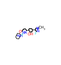 Cn1cc(-c2ccc(-c3ccc(O[C@@H]4CC5CCCC(N5)[C@@H]4F)nn3)c(O)c2)c(F)n1